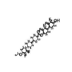 CCOc1ccc(C2CCC(C3CCC(C(=O)Oc4ccc(-c5ccc(O)c(F)c5F)c(F)c4F)CC3)CC2)c(F)c1F